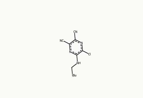 CC(C)(C)CNc1nc(C#N)c(C#N)nc1Cl